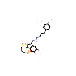 COc1ccc(CCCCNCCCC2(c3ccc(OC)c(OC)c3)S(=O)(=O)CCCS2(=O)=O)cc1OC